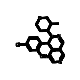 COc1cc(Cl)ccc1C1c2ccncc2C=NN1C1CCOCC1C